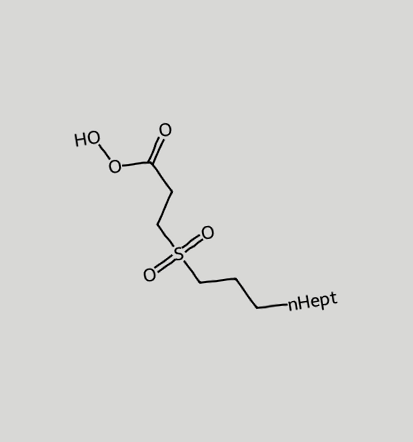 CCCCCCCCCCS(=O)(=O)CCC(=O)OO